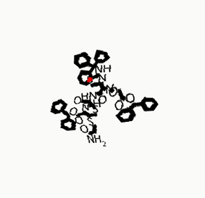 NC(=O)/C=C\SC1=C(C(=O)OC(c2ccccc2)c2ccccc2)N2C(=O)[C@@H](NC(=O)/C(=N\OCC(=O)OC(c3ccccc3)c3ccccc3)c3csc(NC(c4ccccc4)(c4ccccc4)c4ccccc4)n3)[C@@H]2SC1